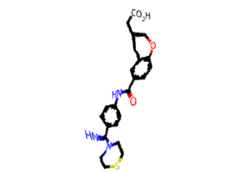 N=C(c1ccc(NC(=O)c2ccc3c(c2)CC(CC(=O)O)CO3)cc1)N1CCSCC1